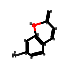 C=C1C=Cc2ccc(C(C)C)cc2O1